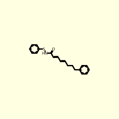 O=C(C=CC=CCCCc1ccccc1)NSc1ccccc1